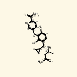 C[C@@H](CC(N)=O)N[C@@H](c1ccc(Cl)c(Oc2ccc(C(N)=O)nc2)c1F)C1CC1